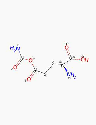 NC(=O)OC(=O)CC[C@H](N)C(=O)O